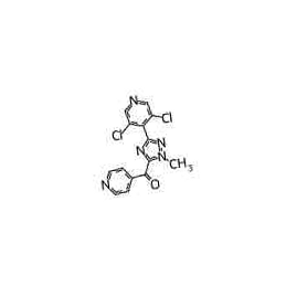 Cn1nc(-c2c(Cl)cncc2Cl)nc1C(=O)c1ccncc1